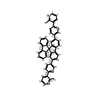 Cc1ncccc1-c1ccc(-c2ccc3c(c2)C2(c4ccccc4-c4ccccc42)c2cc(-c4ccc(-c5cccnc5C)nc4)ccc2-3)cn1